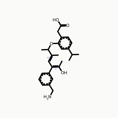 C/C(O)=C(\C=C(/C)C(C)Oc1cc(C(C)C)ccc1CC(=O)O)c1cccc(CN)c1